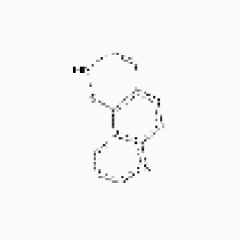 C1=Cc2ccc3ncccc3c2SN1